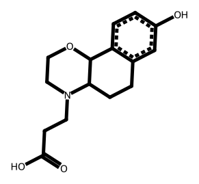 O=C(O)CCN1CCOC2c3ccc(O)cc3CCC21